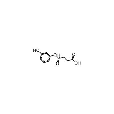 O=C(O)CC[PH](=O)Oc1cccc(O)c1